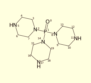 O=P(N1CCNCC1)(N1CCNCC1)N1CCNCC1